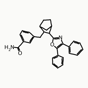 NC(=O)c1cccc(CC2C3CCC(C3)C2c2nc(-c3ccccc3)c(-c3ccccc3)o2)c1